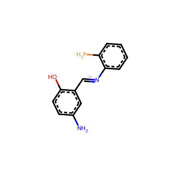 Nc1ccc(O)c(/C=N/c2ccccc2P)c1